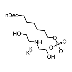 CCCCCCCCCCCCCCCCOP(=O)([O-])[O-].OCCNCCO.[K+].[K+]